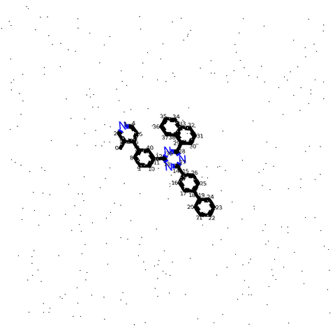 Cc1cnccc1-c1cccc(-c2nc(-c3ccc(-c4ccccc4)cc3)nc(-c3cccc4ccccc34)n2)c1